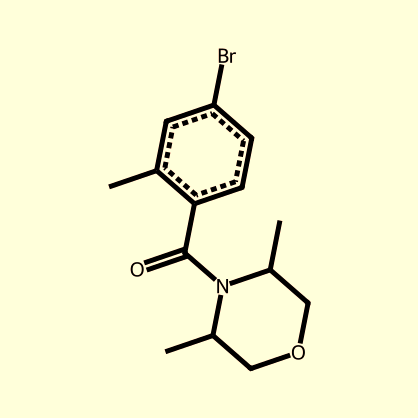 Cc1cc(Br)ccc1C(=O)N1C(C)COCC1C